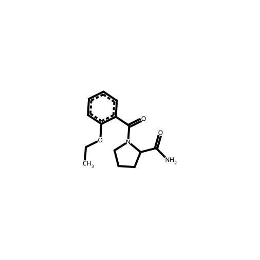 CCOc1ccccc1C(=O)N1CCCC1C(N)=O